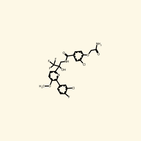 COc1ccc(C(O)(CNC(=O)c2ccc(OCC(N)=O)c(Cl)c2)C(F)(F)F)nc1-c1ccc(F)c(Cl)c1